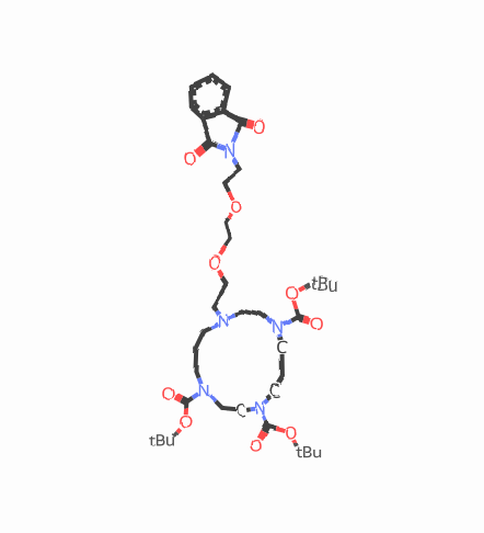 CC(C)(C)OC(=O)N1CCCN(C(=O)OC(C)(C)C)CCN(C(=O)OC(C)(C)C)CCCN(CCOCCOCCN2C(=O)c3ccccc3C2=O)CC1